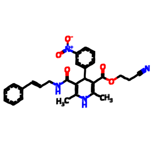 CC1=C(C(=O)NC/C=C/c2ccccc2)C(c2cccc([N+](=O)[O-])c2)C(C(=O)OCCC#N)=C(C)N1